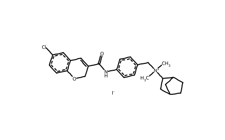 C[N+](C)(Cc1ccc(NC(=O)C2=Cc3cc(Cl)ccc3OC2)cc1)C1CC2CCC1C2.[I-]